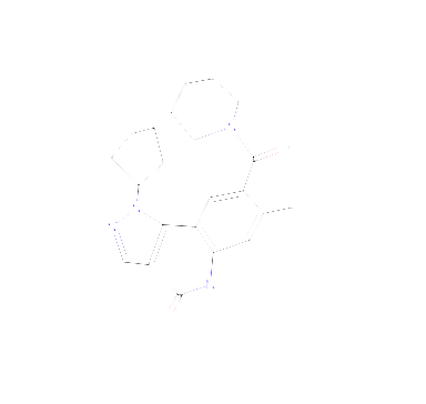 Cc1cc2[nH]c(=O)c3cnn(C4CCCC4)c3c2cc1C(=O)N1CCCCC1